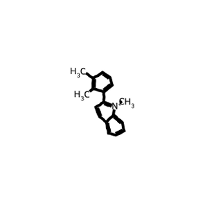 Cc1cccc(-c2ccc3ccccc3[n+]2C)c1C